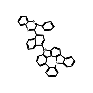 c1ccc(-c2nc3ccccc3nc2-c2ccc(-n3c4cccc5c6ccccc6n6c7ccccc7c7ccc3c(c54)c76)c3ccccc23)cc1